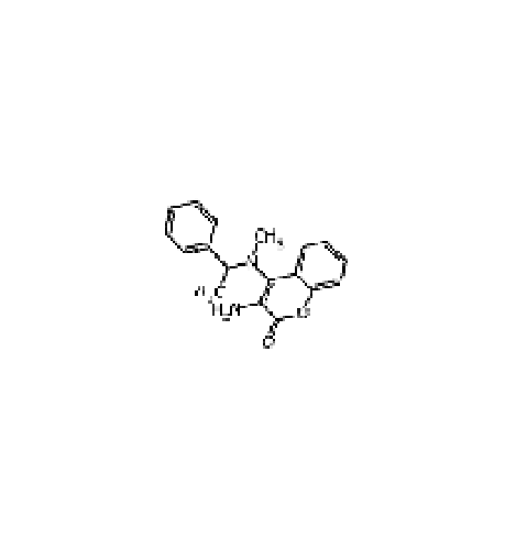 CC(c1ccccc1)N(C)c1c(N)c(=O)oc2ccccc12